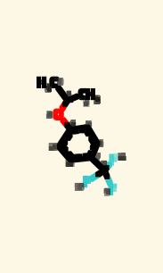 C[C](C)Oc1ccc(C(F)(F)F)cc1